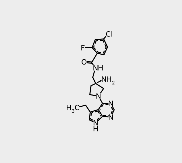 CCc1c[nH]c2ncnc(N3CC[C@](N)(CNC(=O)c4ccc(Cl)cc4F)C3)c12